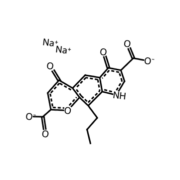 CCCc1c2[nH]cc(C(=O)[O-])c(=O)c2cc2c(=O)cc(C(=O)[O-])oc12.[Na+].[Na+]